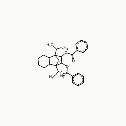 CC(C)C12OC(C(C)C)(C3CCCCC31)C(OC(=O)c1ccccc1)C2OC(=O)c1ccccc1